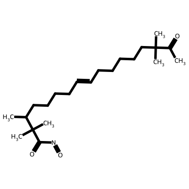 CC(=O)C(C)(C)CCCCC/C=C/CCCCC(C)C(C)(C)C(=O)N=O